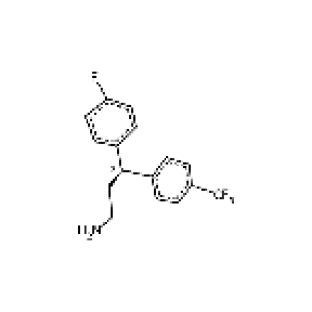 NCC[C@@H](c1ccc(F)cc1)c1ccc(C(F)(F)F)cc1